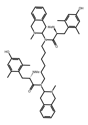 CN[C@@H](Cc1c(C)cc(O)cc1C)C(=O)N(CCCCCCN(C(=O)[C@H](Cc1c(C)cc(O)cc1C)NC)C1Cc2ccccc2CN1C)C1Cc2ccccc2CN1C